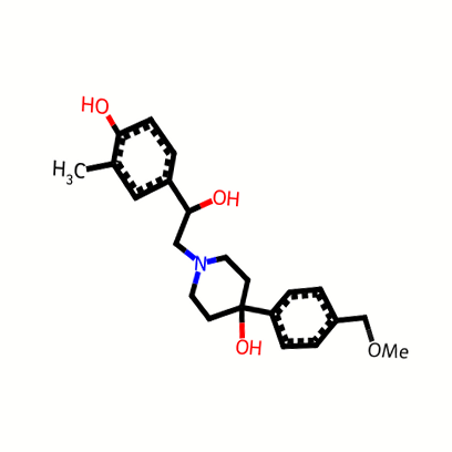 COCc1ccc(C2(O)CCN(CC(O)c3ccc(O)c(C)c3)CC2)cc1